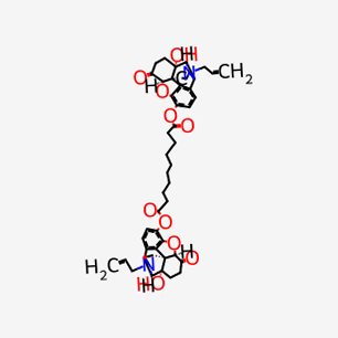 C=CCN1CC[C@]23c4c5ccc(OC(=O)CCCCCCCCC(=O)Oc6ccc7c8c6O[C@H]6C(=O)CC[C@@]9(O)[C@@H](C7)N(CC=C)CC[C@]869)c4O[C@H]2C(=O)CC[C@@]3(O)[C@H]1C5